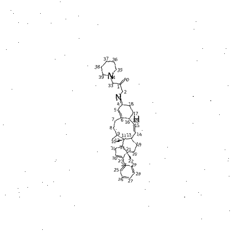 C=C(C/N=C1/C=C2CCC(C)[C@]3(C)C(C=C[C@@H]2CC1)CC[C@]1(C)C(c2ccccc2)=CCC31)CN1CCCCC1